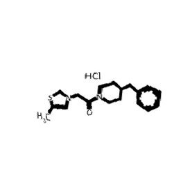 CC1=CN(CC(=O)N2CCC(Cc3ccccc3)CC2)CS1.Cl